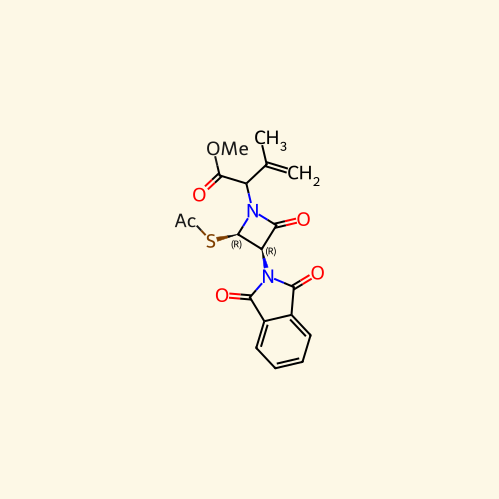 C=C(C)C(C(=O)OC)N1C(=O)[C@@H](N2C(=O)c3ccccc3C2=O)[C@H]1SC(C)=O